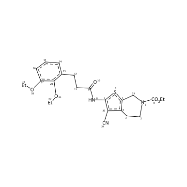 CCOC(=O)N1CCc2c(sc(NC(=O)CCc3cccc(OCC)c3OCC)c2C#N)C1